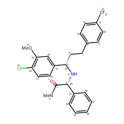 CNC(=O)[C@H](N[C@@H](CCc1ccc(C(F)(F)F)cc1)c1ccc(Cl)c(OC)c1)c1ccccc1